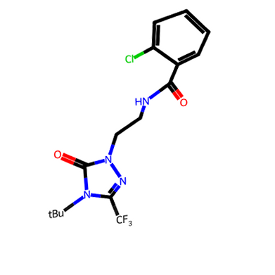 CC(C)(C)n1c(C(F)(F)F)nn(CCNC(=O)c2ccccc2Cl)c1=O